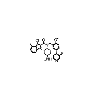 CN[C@H]1CC[C@H](N(Cc2cc(-c3ccncc3F)ccc2OC)C(=O)c2sc3cccc(C)c3c2Cl)CC1